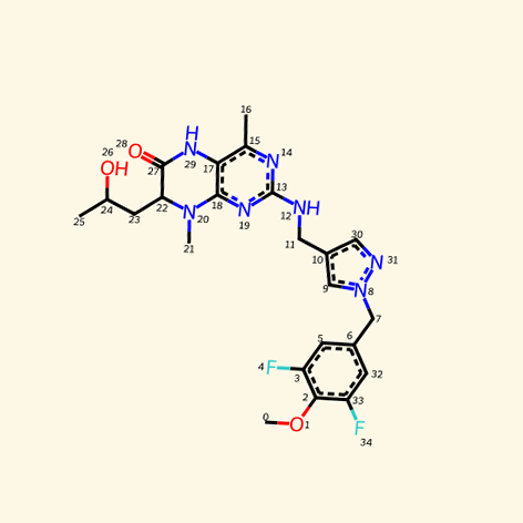 COc1c(F)cc(Cn2cc(CNc3nc(C)c4c(n3)N(C)C(CC(C)O)C(=O)N4)cn2)cc1F